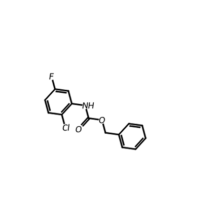 O=C(Nc1cc(F)ccc1Cl)OCc1ccccc1